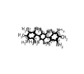 Bc1c(B)c(-c2c(B)c(B)c(-c3c(B)c(B)c(C)c(B)c3B)c(B)c2B)c(B)c(B)c1C